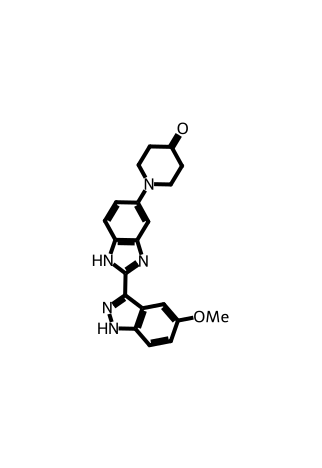 COc1ccc2[nH]nc(-c3nc4cc(N5CCC(=O)CC5)ccc4[nH]3)c2c1